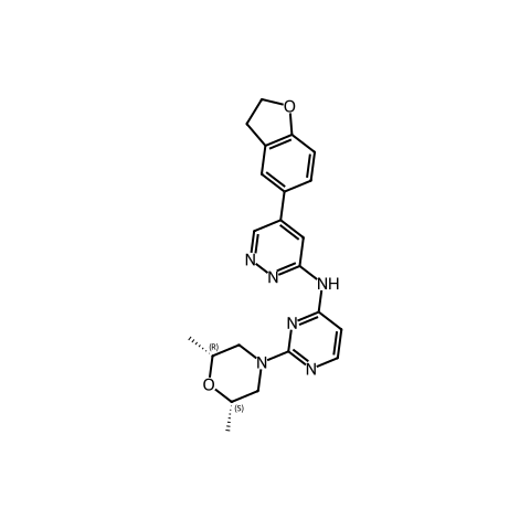 C[C@@H]1CN(c2nccc(Nc3cc(-c4ccc5c(c4)CCO5)cnn3)n2)C[C@H](C)O1